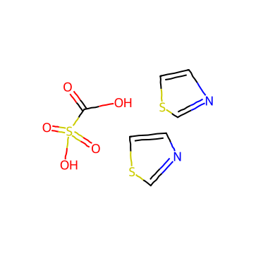 O=C(O)S(=O)(=O)O.c1cscn1.c1cscn1